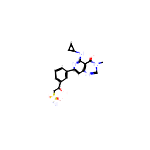 Cn1cnc2cc(-c3cccc(C(O)CS(N)(=O)=O)c3)nc(NC3CC3)c2c1=O